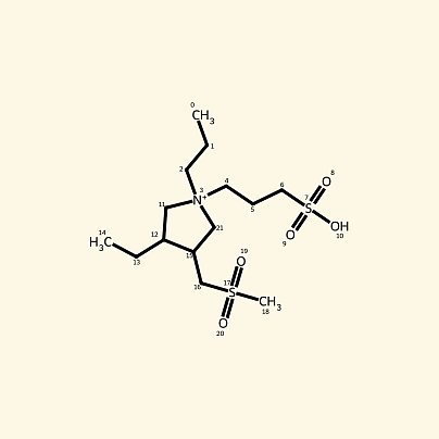 CCC[N+]1(CCCS(=O)(=O)O)CC(CC)C(CS(C)(=O)=O)C1